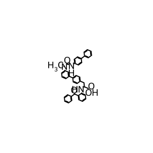 CN(C(=O)Nc1ccc(-c2ccccc2)cc1)c1cccc(-c2ccc(CC(Nc3ccccc3C(=O)c3ccccc3)C(=O)O)cc2)c1